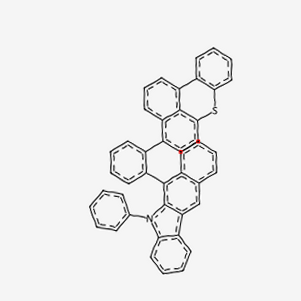 c1ccc(-n2c3ccccc3c3cc4ccccc4c(-c4ccccc4-c4ccc5c6c(cccc46)-c4ccccc4S5)c32)cc1